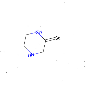 [Se]=C1CNCCN1